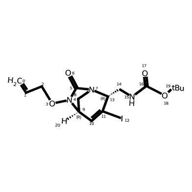 C=CCON1C(=O)N2C[C@H]1C=C(I)[C@H]2CNC(=O)OC(C)(C)C